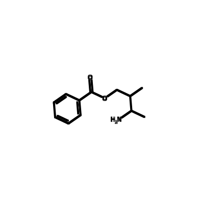 CC(N)C(C)COC(=O)c1ccccc1